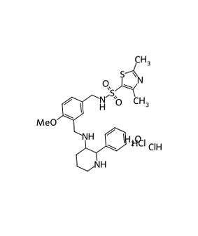 COc1ccc(CNS(=O)(=O)c2sc(C)nc2C)cc1CNC1CCCNC1c1ccccc1.Cl.Cl.O